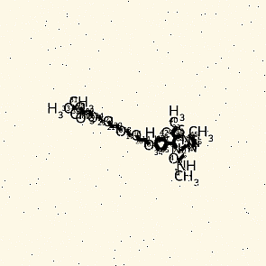 CCNC(=O)C[C@@H]1N=C(c2ccc(OCCOCCOCCOCCOCC(=O)OC(C)(C)C)cc2)c2c(sc(C)c2C)-n2c(C)nnc21